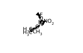 C[Si](C)(C)CCOCn1cc([N+](=O)[O-])c(OCC2(F)CC2)n1